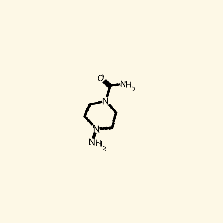 NC(=O)N1CCN(N)CC1